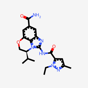 CCn1nc(C)cc1C(=O)Nc1nc2cc(C(N)=O)cc3c2n1[C@@H](C(C)C)CO3